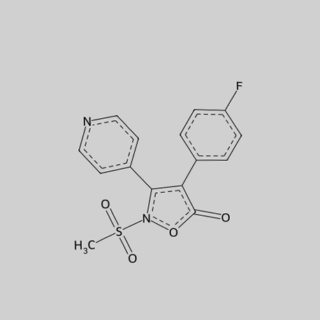 CS(=O)(=O)n1oc(=O)c(-c2ccc(F)cc2)c1-c1ccncc1